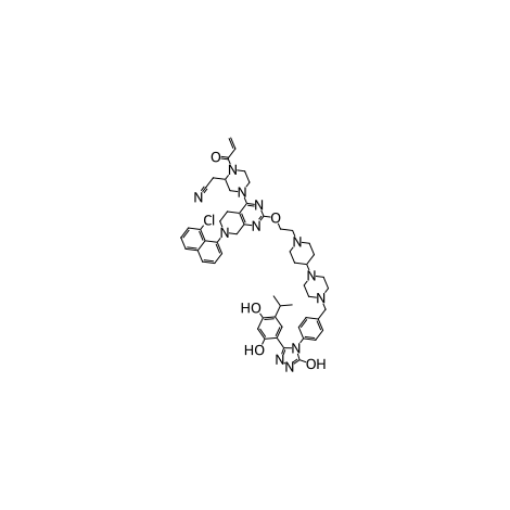 C=CC(=O)N1CCN(c2nc(OCCN3CCC(N4CCN(Cc5ccc(-n6c(O)nnc6-c6cc(C(C)C)c(O)cc6O)cc5)CC4)CC3)nc3c2CCN(c2cccc4cccc(Cl)c24)C3)CC1CC#N